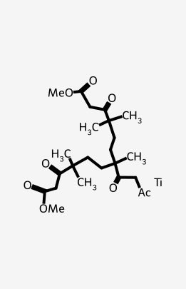 COC(=O)CC(=O)C(C)(C)CCC(C)(CCC(C)(C)C(=O)CC(=O)OC)C(=O)CC(C)=O.[Ti]